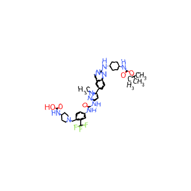 Cn1nc(NC(=O)Nc2ccc(CN3CCC(NC(=O)O)CC3)c(C(F)(F)F)c2)cc1-c1ccc2nc(N[C@H]3CC[C@H](NC(=O)OC(C)(C)C)CC3)ncc2c1